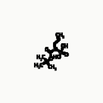 C=CCN(C(=O)OC(C)(C)C)P(=O)(O)O